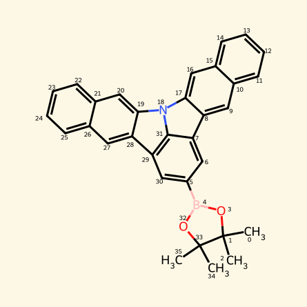 CC1(C)OB(c2cc3c4cc5ccccc5cc4n4c5cc6ccccc6cc5c(c2)c34)OC1(C)C